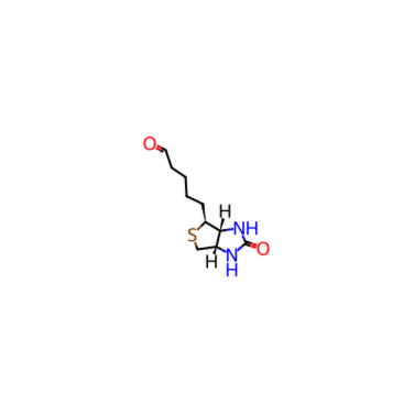 O=CCCCC[C@@H]1SC[C@H]2NC(=O)N[C@@H]12